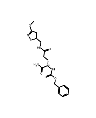 COC1=NOC(CNC(=O)CC[C@H](NC(=O)OCc2ccccc2)C(N)=O)C1